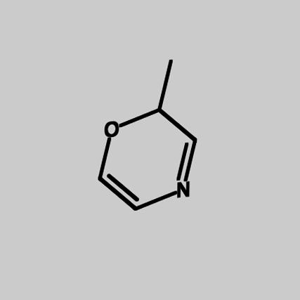 CC1C=NC=CO1